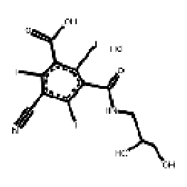 Cl.N#Cc1c(I)c(C(=O)O)c(I)c(C(=O)NCC(O)CO)c1I